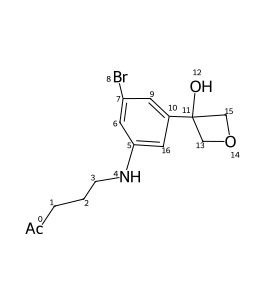 CC(=O)CCCNc1cc(Br)cc(C2(O)COC2)c1